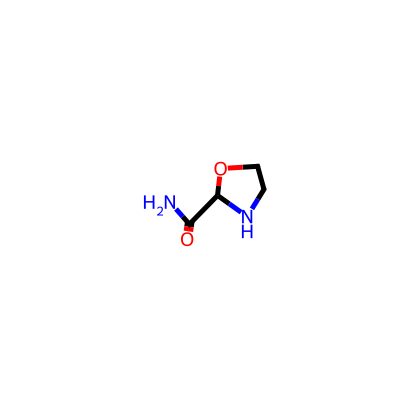 NC(=O)C1NCCO1